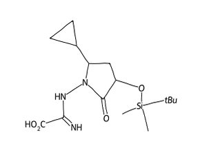 CC(C)(C)[Si](C)(C)OC1CC(C2CC2)N(NC(=N)C(=O)O)C1=O